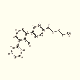 OCCCNc1cnc(-c2cccc(-c3ccccc3)c2F)cn1